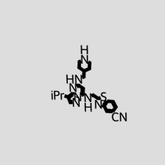 CC(C)c1cnn2c(NCc3nc4cc(C#N)ccc4s3)cc(NCC3CCNCC3)nc12